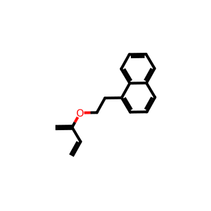 C=CC(=C)OCCc1cccc2ccccc12